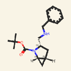 CC(C)(C)OC(=O)N1[C@H](CNCc2ccccc2)C[C@@H]2C[C@@H]21